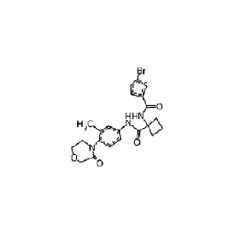 Cc1cc(NC(=O)C2(NC(=O)c3ccc(Br)s3)CCC2)ccc1N1CCOCC1=O